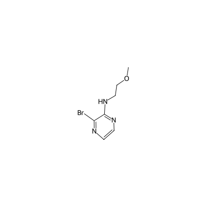 COCCNc1nccnc1Br